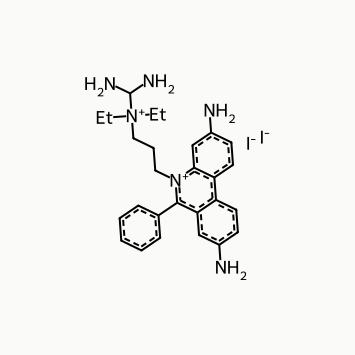 CC[N+](CC)(CCC[n+]1c(-c2ccccc2)c2cc(N)ccc2c2ccc(N)cc21)C(N)N.[I-].[I-]